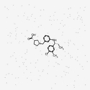 CC[C@@H](Nc1cccc(CN2CC[C@H](C(=O)O)C2)c1)c1ccc(Cl)c(C)c1